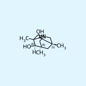 CC12CN3C[C@@](C)(C[C@@](C)(C3)[C@H]1O)[C@H]2O